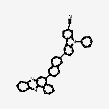 N#Cc1ccc2c3cc(-c4ccc5cc(-c6cc7nc8ccccc8nc7c7ccccc67)ccc5c4)ccc3n(-c3ccccc3)c2c1